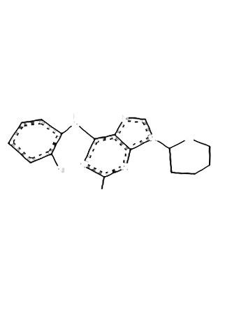 Nc1ccccc1Nc1nc(I)nc2c1ncn2C1CCCCO1